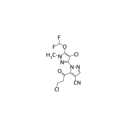 Cn1nc(-n2ncc(C#N)c2C(=O)CCCl)c(Cl)c1OC(F)F